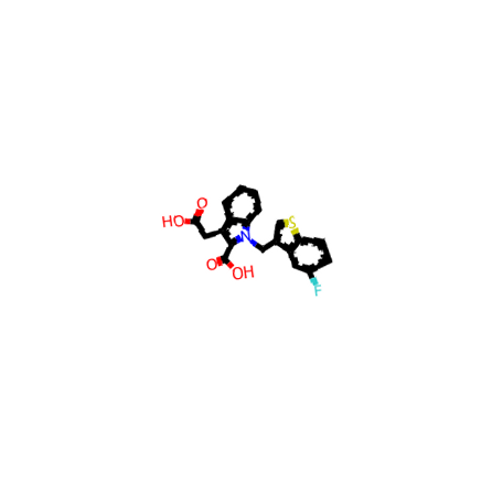 O=C(O)Cc1c(C(=O)O)n(Cc2csc3ccc(F)cc23)c2ccccc12